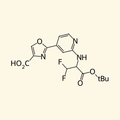 CC(C)(C)OC(=O)C(Nc1cc(-c2nc(C(=O)O)co2)ccn1)C(F)F